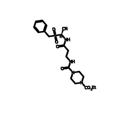 CCOC(=O)N1CCN(C(=O)NCCC(=O)N[C@@H](C#N)S(=O)(=O)Cc2ccccc2)CC1